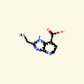 CCc1nc2nccc(C(=O)O)c2[nH]1